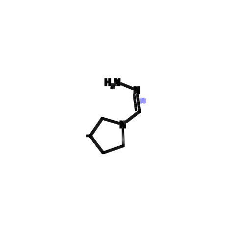 N/N=C\N1C[CH]CC1